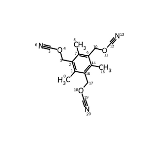 Cc1c(COC#N)c(C)c(COC#N)c(C)c1COC#N